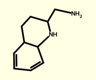 NCC1CCC2C=CC=CC2N1